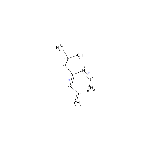 C=C/C=C(CN(C)C)\N=C/C